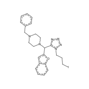 ICCCn1nnnc1C(c1cc2ccccc2o1)N1CCN(Cc2ccccc2)CC1